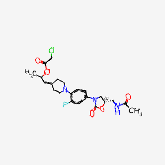 CC(=O)NC[C@H]1CN(c2ccc(N3CCC(=CC(C)OC(=O)CCl)CC3)c(F)c2)C(=O)O1